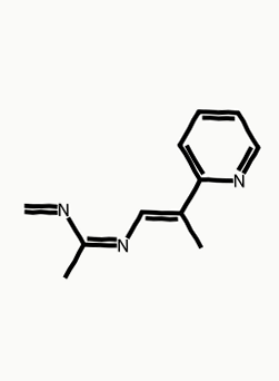 C=N/C(C)=N\C=C(/C)c1ccccn1